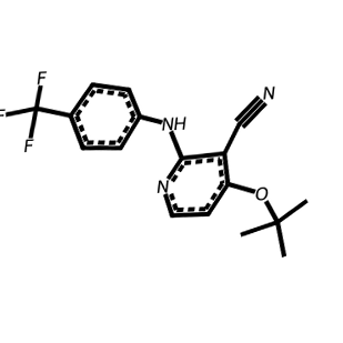 CC(C)(C)Oc1ccnc(Nc2ccc(C(F)(F)F)cc2)c1C#N